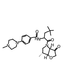 C[C@@H]1CN(C(=O)C(CC(C)(C)C)NC(=O)c2ccc(N3CCN(C)CC3)cc2)[C@@H]2C(=O)CO[C@H]12